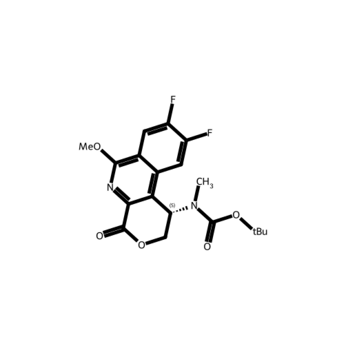 COc1nc2c(c3cc(F)c(F)cc13)[C@H](N(C)C(=O)OC(C)(C)C)COC2=O